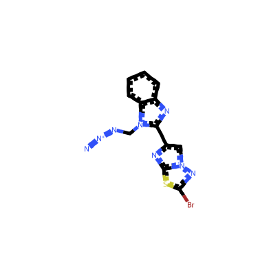 [N-]=[N+]=NCn1c(-c2cn3nc(Br)sc3n2)nc2ccccc21